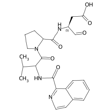 CC(C)C(NC(=O)c1nccc2ccccc12)C(=O)N1CCCC1C(=O)N[C@H](C=O)CC(=O)O